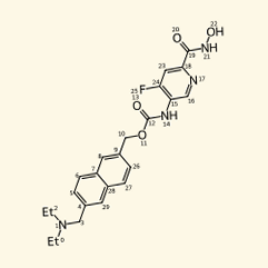 CCN(CC)Cc1ccc2cc(COC(=O)Nc3cnc(C(=O)NO)cc3F)ccc2c1